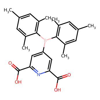 Cc1cc(C)c(B(c2cc(C(=O)O)nc(C(=O)O)c2)c2c(C)cc(C)cc2C)c(C)c1